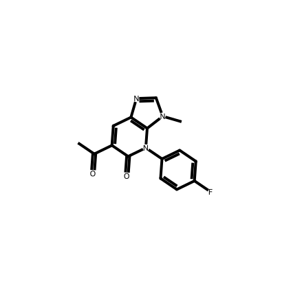 CC(=O)c1cc2ncn(C)c2n(-c2ccc(F)cc2)c1=O